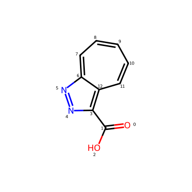 O=C(O)c1nnc2cccccc1-2